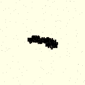 Cc1ncsc1-c1ccc([C@H](C)NC(=O)[C@@H]2C[C@@H](O)CN2C(=O)C(NC(=O)COCCCCOc2ccc(-c3ccc(N4C(=S)N(c5ccc(C#N)c(C(F)(F)F)c5)C(=O)C4(C)C)cn3)cn2)C(C)(C)C)cc1